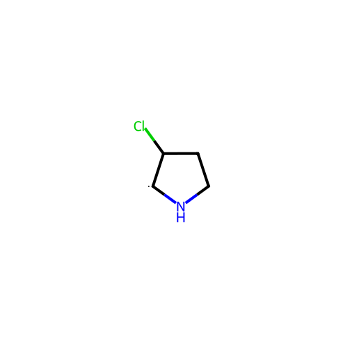 ClC1[CH]NCC1